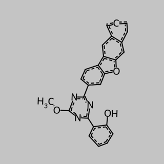 COc1nc(-c2ccc3c(c2)oc2cc4ccccc4cc23)nc(-c2ccccc2O)n1